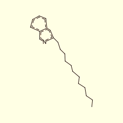 CCCCCCCCCCCCc1cc2ccccc2cn1